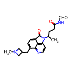 CC(CCC(=O)NC=O)N1C(=O)c2ccc(CC3CN(C)C3)c3nccc1c23